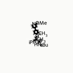 COc1cc(-c2ccc(OC[C@](C)(CC(C)C)OC(=O)NC(C)(C)C)c(C)c2)ccn1